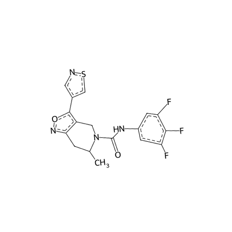 CC1Cc2noc(-c3cnsc3)c2CN1C(=O)Nc1cc(F)c(F)c(F)c1